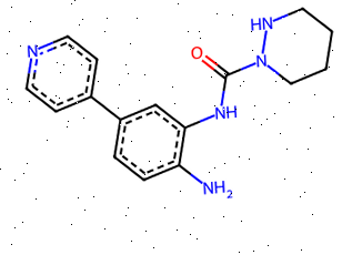 Nc1ccc(-c2ccncc2)cc1NC(=O)N1CCCCN1